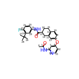 CC(=O)Nc1cc(Oc2ccc3c(c2)CC(C(=O)Nc2ccc(F)c(C(C)(C)C)c2)CC3)ccn1